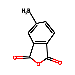 Bc1ccc2c(c1)C(=O)OC2=O